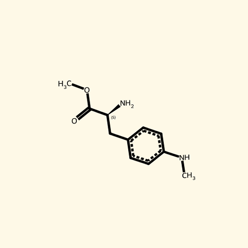 CNc1ccc(C[C@H](N)C(=O)OC)cc1